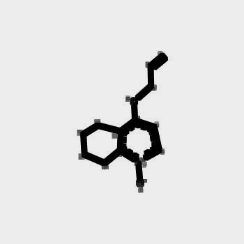 C=CCOc1cc[n+]([O-])c2c1CCCC2